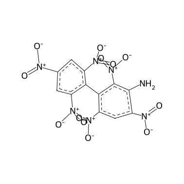 Nc1c([N+](=O)[O-])cc([N+](=O)[O-])c(-c2c([N+](=O)[O-])cc([N+](=O)[O-])cc2[N+](=O)[O-])c1[N+](=O)[O-]